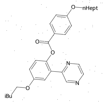 CCCCCCCOc1ccc(C(=O)Oc2ccc(OCC(C)CC)cc2-c2cnccn2)cc1